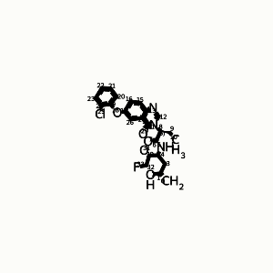 C=C(O)CC(NC(=O)[C@H](CC)n1cnc2ccc(Oc3ccccc3Cl)cc2c1=O)C(=O)CF